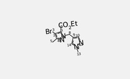 CCOC(=O)c1c(Br)c(C)nn1Cc1cnn(C)c1